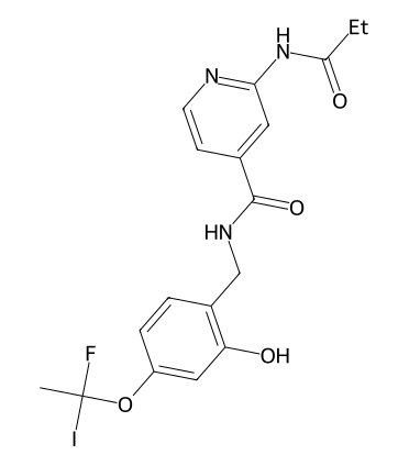 CCC(=O)Nc1cc(C(=O)NCc2ccc(OC(C)(F)I)cc2O)ccn1